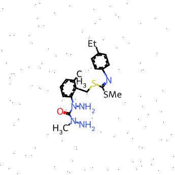 CCc1ccc(N=C(SC)SCc2c(C)cccc2N(N)C(=O)N(C)N)cc1